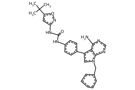 CC(C)(C)c1cc(NC(=O)Nc2ccc(-c3cn(Cc4ccccc4)c4ncnc(N)c34)cc2)no1